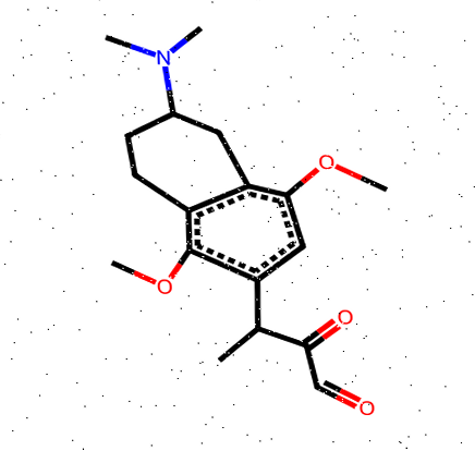 COc1cc(C(C)C(=O)C=O)c(OC)c2c1CC(N(C)C)CC2